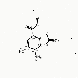 CC(=O)O.COC(=O)[C@@H]1CC[C@@H](N)[C@H](O)C1